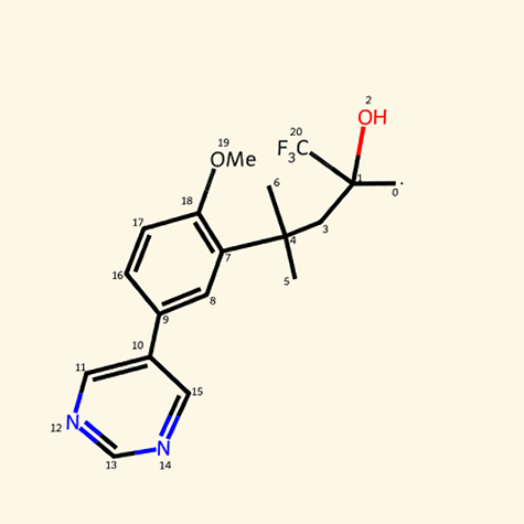 [CH2]C(O)(CC(C)(C)c1cc(-c2cncnc2)ccc1OC)C(F)(F)F